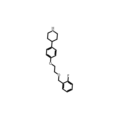 Fc1ccccc1COCCOc1ccc(C2CCNCC2)cc1